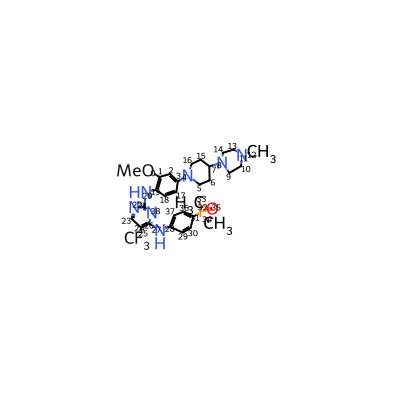 COc1cc(N2CCC(N3CCN(C)CC3)CC2)ccc1Nc1ncc(C(F)(F)F)c(Nc2ccc(P(C)(C)=O)cc2)n1